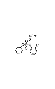 CCCCCCCCOOP(=O)(Oc1ccccc1C)Oc1ccccc1CC